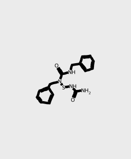 NC(=O)NSN(Cc1ccccc1)C(=O)NCc1ccccc1